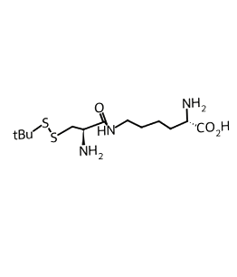 CC(C)(C)SSC[C@H](N)C(=O)NCCCC[C@H](N)C(=O)O